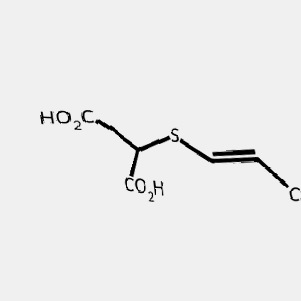 O=C(O)C(SC=CCl)C(=O)O